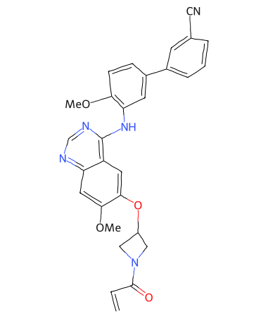 C=CC(=O)N1CC(Oc2cc3c(Nc4cc(-c5cccc(C#N)c5)ccc4OC)ncnc3cc2OC)C1